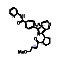 COC/C=C/C(=O)N1CCCC1C1=C2C=NC=C[N+]2(N)C(c2ccc(C(=O)Nc3ccccn3)cc2)=N1